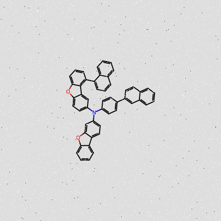 c1ccc2cc(-c3ccc(N(c4ccc5c(c4)oc4ccccc45)c4ccc5oc6cccc(-c7cccc8ccccc78)c6c5c4)cc3)ccc2c1